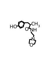 C[C@@H](Cc1ccc(O)cc1)C(=O)NCCN1CCOCC1